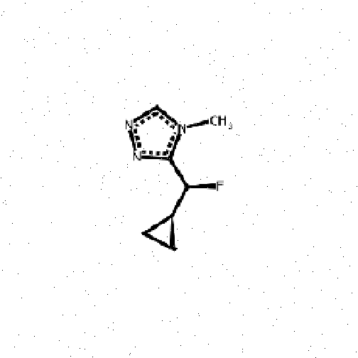 Cn1cnnc1[C@@H](F)[C@H]1[CH]C1